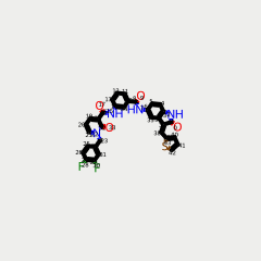 O=C1Nc2ccc(NC(=O)c3cccc(NC(=O)c4cccn(Cc5ccc(F)c(F)c5)c4=O)c3)cc2C1=Cc1cccs1